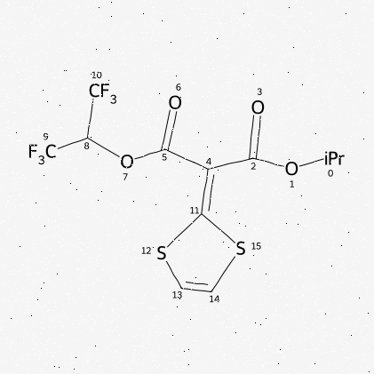 CC(C)OC(=O)C(C(=O)OC(C(F)(F)F)C(F)(F)F)=C1SC=CS1